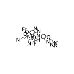 C=N/C(=C\c1ncnn1C)Oc1ccc(Nc2ncnc3cc(OCC)c(NC(=O)/C=C/CN(C)C)c(O[C@@H]4CCN(C)CC4(F)F)c23)cc1C